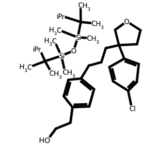 CC(C)C(C)(C)[Si](C)(C)O[Si](C)(C)C(C)(C)C(C)C.OCCc1ccc(CCCC2(c3ccc(Cl)cc3)CCOC2)cc1